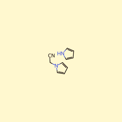 N#CCn1cccc1.c1cc[nH]c1